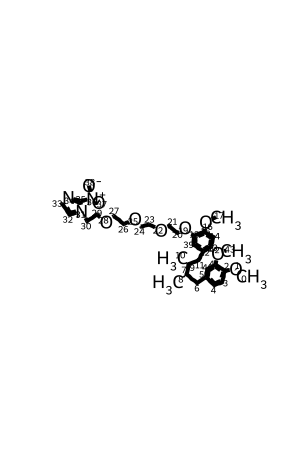 COc1ccc(C[C@H](C)[C@H](C)Cc2ccc(OC)c(OCCOCCOCCOCCn3ccnc3[N+](=O)[O-])c2)cc1OC